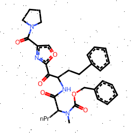 CCCC(C(=O)NC(CCc1ccccc1)C(=O)c1nc(C(=O)N2CCCC2)co1)N(C)C(=O)OCc1ccccc1